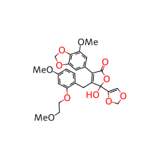 COCCOc1cc(OC)ccc1CC1=C(c2cc(OC)c3c(c2)OCO3)C(=O)OC1(O)C1=COCO1